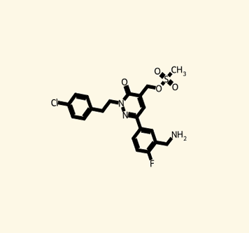 CS(=O)(=O)OCc1cc(-c2ccc(F)c(CN)c2)nn(CCc2ccc(Cl)cc2)c1=O